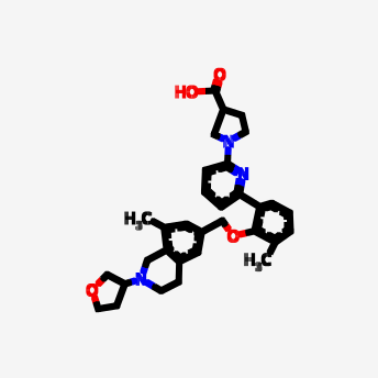 Cc1cc(COc2c(C)cccc2-c2cccc(N3CCC(C(=O)O)C3)n2)cc2c1CN(C1CCOC1)CC2